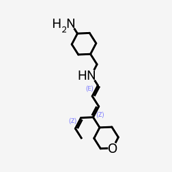 C\C=C/C(=C\C=C\NCC1CCC(N)CC1)C1CCOCC1